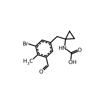 Cc1c(Br)cc(CC2(NC(=O)O)CC2)cc1C=O